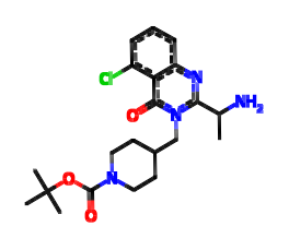 CC(N)c1nc2cccc(Cl)c2c(=O)n1CC1CCN(C(=O)OC(C)(C)C)CC1